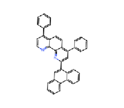 c1ccc(-c2ccnc3c2ccc2c(-c4ccccc4)cc(-c4cc5ccccc5c5ccccc45)nc23)cc1